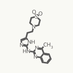 Cc1nc(Nc2ncc(CCN3CCS(=O)(=O)CC3)[nH]2)nc2ccccc12